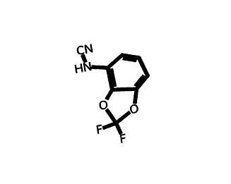 N#CNc1cccc2c1OC(F)(F)O2